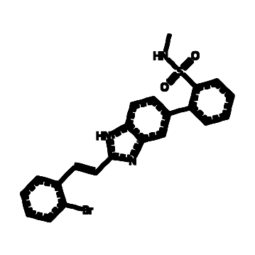 CNS(=O)(=O)c1ccccc1-c1ccc2[nH]c(C=Cc3ccccc3Br)nc2c1